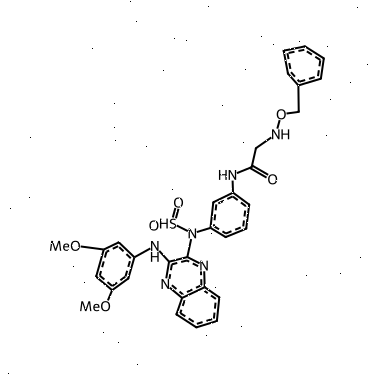 COc1cc(Nc2nc3ccccc3nc2N(c2cccc(NC(=O)CNOCc3ccccc3)c2)[SH](=O)=O)cc(OC)c1